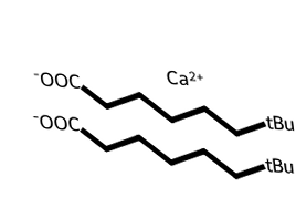 CC(C)(C)CCCCCC(=O)[O-].CC(C)(C)CCCCCC(=O)[O-].[Ca+2]